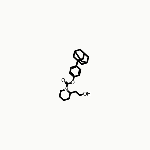 O=C(Oc1ccc(C23CC4CC(CC(C4)C2)C3)cc1)N1CCCCC1CCO